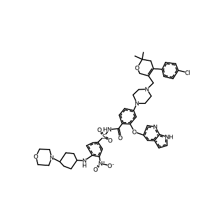 CC1(C)CC(c2ccc(Cl)cc2)=C(CN2CCN(c3ccc(C(=O)NS(=O)(=O)c4ccc(NC5CCC(N6CCOCC6)CC5)c([N+](=O)[O-])c4)c(Oc4cnc5[nH]ccc5c4)c3)CC2)CO1